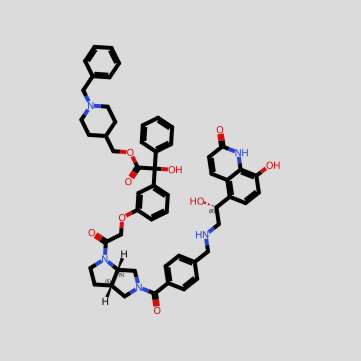 O=C(c1ccc(CNC[C@H](O)c2ccc(O)c3[nH]c(=O)ccc23)cc1)N1C[C@@H]2CCN(C(=O)COc3cccc(C(O)(C(=O)OCC4CCN(Cc5ccccc5)CC4)c4ccccc4)c3)[C@@H]2C1